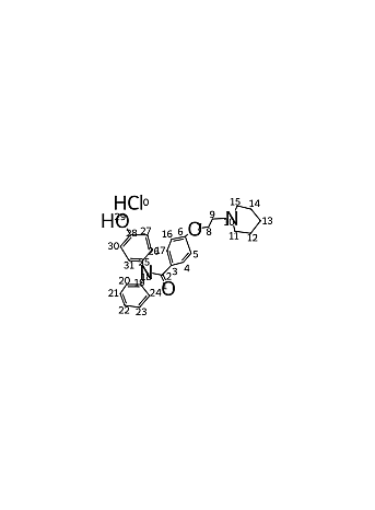 Cl.O=C(c1ccc(OCCN2CCCCC2)cc1)N(c1ccccc1)c1ccc(O)cc1